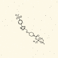 CC(C)(C)OC(=O)N1CCC(OCc2noc(-c3ccc(S(C)(=O)=O)cc3)n2)CC1